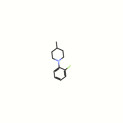 CC1CCN(c2cc[c]cc2F)CC1